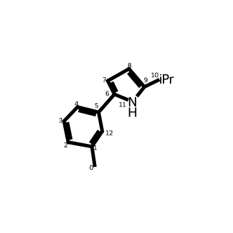 Cc1cccc(-c2ccc(C(C)C)[nH]2)c1